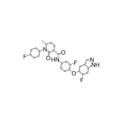 Cc1ccc(C(=O)Nc2ccc(Oc3cc4cn[nH]c4cc3F)c(F)c2)c(=O)n1-c1ccc(F)cc1